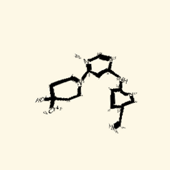 CC1(O)CCN(c2cc(Nc3ccc(C=N)cn3)ncn2)CC1